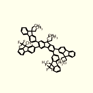 CCC1(CC)c2ccccc2-c2ccc(-c3cc4c(cc3-c3ccc5c(c3)C(C)(C(F)(F)F)c3ccccc3-5)-c3cc(-c5ccc6c(c5)C(C)(C(F)(F)F)c5ccccc5-6)c(-c5ccc6c(c5)C(CC)(CC)c5ccccc5-6)cc3C4(CC)CC)cc21